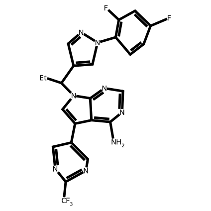 CCC(c1cnn(-c2ccc(F)cc2F)c1)n1cc(-c2cnc(C(F)(F)F)nc2)c2c(N)ncnc21